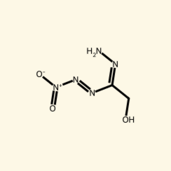 NN=C(CO)N=N[N+](=O)[O-]